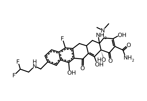 CN(C)[C@@H]1C(O)=C(C(N)=O)C(=O)[C@@]2(O)C(O)=C3C(=O)c4c(c(F)c5ccc(CNCC(F)F)cc5c4O)CC3CC12N